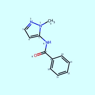 Cn1nccc1NC(=O)c1ccccc1